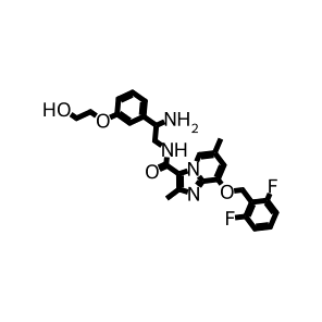 Cc1cc(OCc2c(F)cccc2F)c2nc(C)c(C(=O)NCC(N)c3cccc(OCCO)c3)n2c1